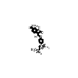 CC/C(Nc1ccc(N(CCN(C)C)S(C)(=O)=O)cc1)=C1/C(=O)Nc2cc(C(=O)OC)ccc21